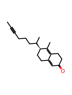 CC#CCCCC(C)[C@@H]1CCC2=CC(=O)CCC2=C1C